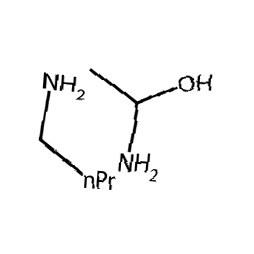 CC(N)O.CCCCN